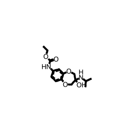 CCOC(=O)Nc1ccc2c(c1)OCC(O)(NC(C)C)CO2